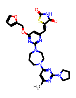 Cc1cc(N2CCCN(c3nc(/C=C4\SC(=O)NC4=O)cc(OCc4ccco4)n3)CC2)nc(N2CCCC2)n1